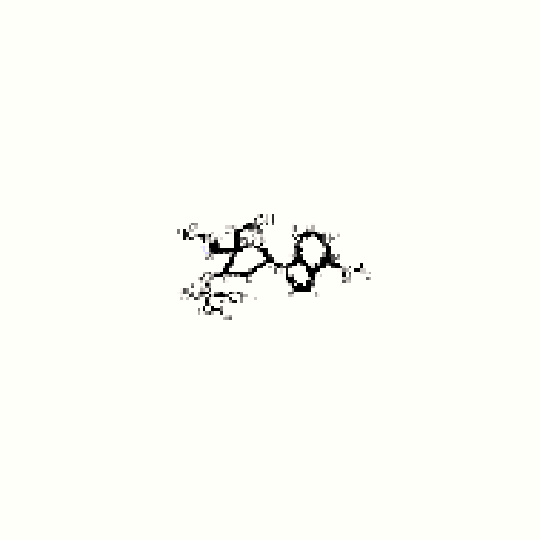 CC(C)(C)[Si](C)(C)OC1CC(n2ccc3c(N)ncnc32)OC1(/C=N/O)CO